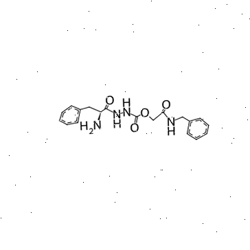 N[C@@H](Cc1ccccc1)C(=O)NNC(=O)OCC(=O)NCc1ccccc1